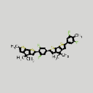 Cc1cc2c(s1)-c1sc(-c3c(F)cc(-c4cc5c(s4)-c4sc(-c6cc(F)c(C)c(F)c6)cc4C5(C)C)cc3F)cc1C2(C)C